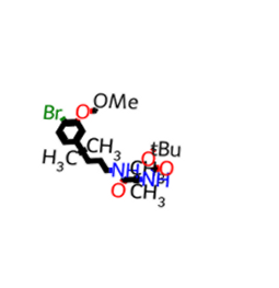 COCOc1cc(C(C)(C)CCCNC(=O)C(C)(C)NC(=O)OC(C)(C)C)ccc1Br